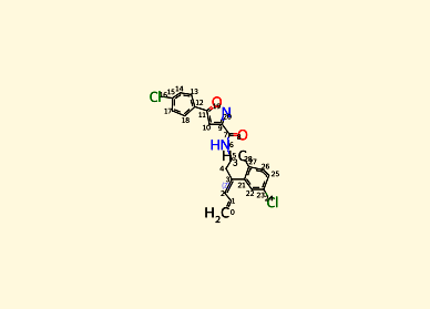 C=C/C=C(/CCNC(=O)c1cc(-c2ccc(Cl)cc2)on1)c1cc(Cl)ccc1C